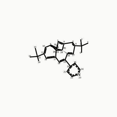 CC(C)(C)C1=CC2=CC3=C4C=C(C(C)(C)C)C=C5C=C(c6ccncc6)C(=C1)[C@@]23[C@]54C